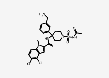 CC(=O)NS(=O)(=O)N1CCC(NC(=O)c2cc3c(Cl)c(Cl)ccc3n2C)(c2cccc(CN)c2)CC1